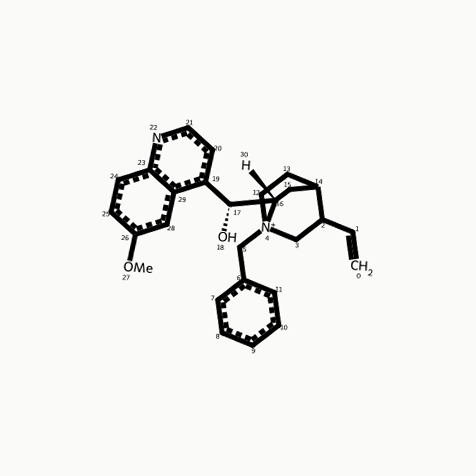 C=CC1C[N+]2(Cc3ccccc3)CCC1C[C@H]2[C@H](O)c1ccnc2ccc(OC)cc12